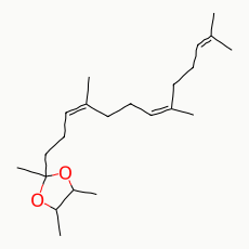 CC(C)=CCCC(C)=CCCC(C)=CCCC1(C)OC(C)C(C)O1